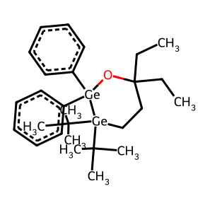 CCC1(CC)C[CH2][Ge]([C](C)(C)C)([C](C)(C)C)[Ge]([c]2ccccc2)([c]2ccccc2)[O]1